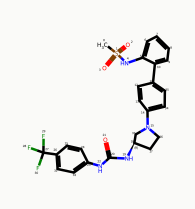 CS(=O)(=O)Nc1ccccc1-c1ccc(N2CC[C@@H](NC(=O)Nc3ccc(C(F)(F)F)cc3)C2)cc1